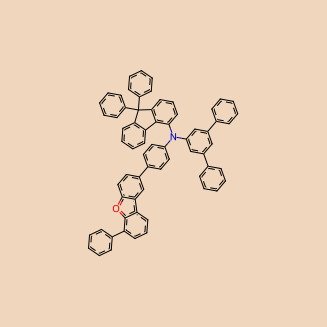 c1ccc(-c2cc(-c3ccccc3)cc(N(c3ccc(-c4ccc5oc6c(-c7ccccc7)cccc6c5c4)cc3)c3cccc4c3-c3ccccc3C4(c3ccccc3)c3ccccc3)c2)cc1